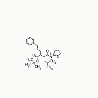 CC(C)C[C@@H](C(=O)NN1CCCS1)C(C/C=C/c1ccccc1)C(=O)OC(C)(C)C